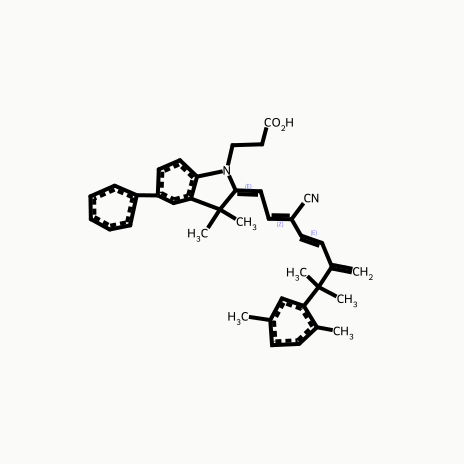 C=C(/C=C/C(C#N)=C/C=C1/N(CCC(=O)O)c2ccc(-c3ccccc3)cc2C1(C)C)C(C)(C)c1cc(C)ccc1C